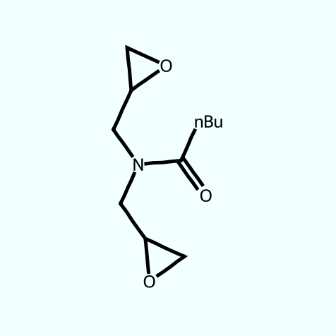 CCCCC(=O)N(CC1CO1)CC1CO1